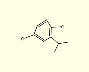 CC(C)c1cc(Cl)ccc1Cl